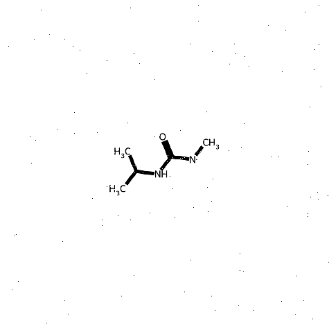 C[N]C(=O)NC(C)C